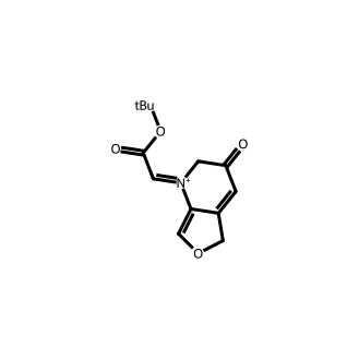 CC(C)(C)OC(=O)C=[N+]1CC(=O)C=C2COC=C21